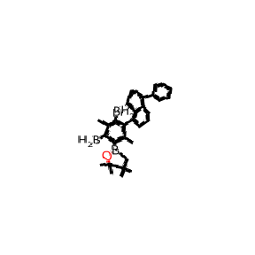 Bc1c(C)c(B)c(-c2cccc3c(-c4ccccc4)cccc23)c(C)c1B1CC(C)(C)C(C)(C)O1